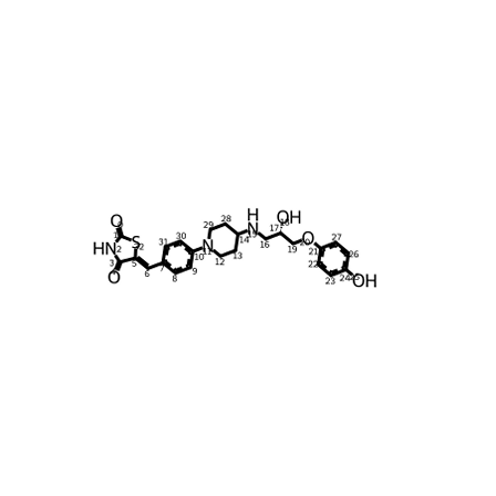 O=C1NC(=O)C(=Cc2ccc(N3CCC(NC[C@H](O)COc4ccc(O)cc4)CC3)cc2)S1